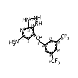 Nc1cc(OCc2cc(C(F)(F)F)cc(C(F)(F)F)c2)c2c(n1)NNN2